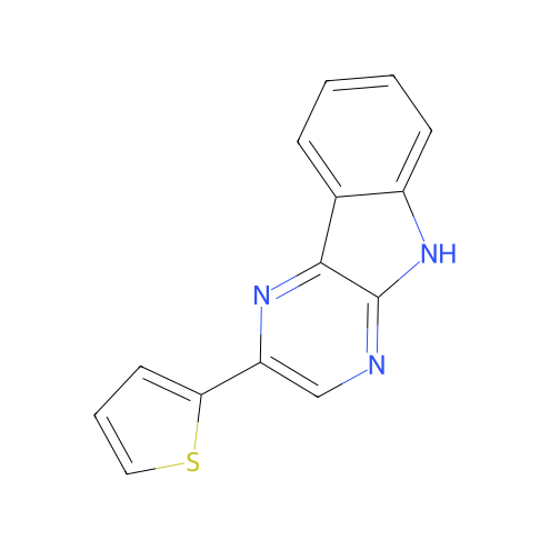 c1csc(-c2cnc3[nH]c4ccccc4c3n2)c1